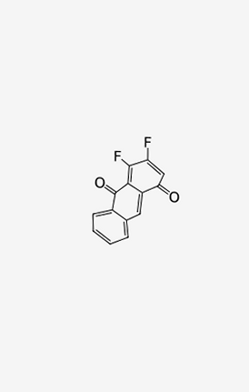 O=C1C=C(F)C(F)=C2C(=O)c3ccccc3C=C12